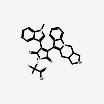 Cn1cc(C2=C(c3c4n(c5ccccc35)CC3CNCC3C4)C(=O)NC2=O)c2ccccc21.O=C(O)C(F)(F)F